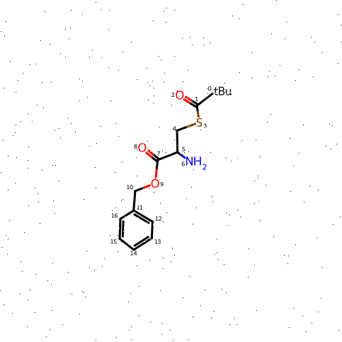 CC(C)(C)C(=O)SCC(N)C(=O)OCc1ccccc1